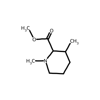 COC(=O)C1C(C)CCCN1C